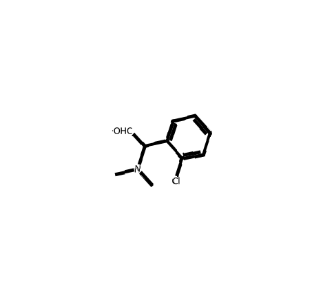 CN(C)C([C]=O)c1ccccc1Cl